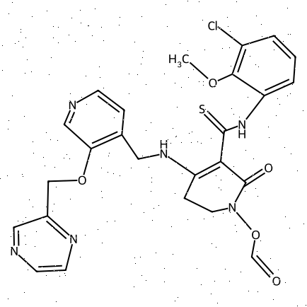 COc1c(Cl)cccc1NC(=S)C1=C(NCc2ccncc2OCc2cnccn2)CCN(OC=O)C1=O